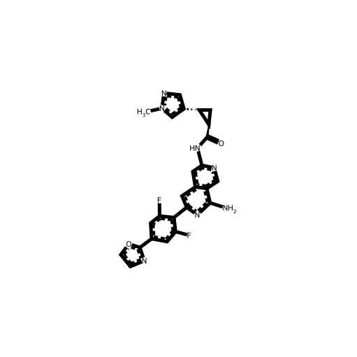 Cn1cc([C@@H]2C[C@H]2C(=O)Nc2cc3cc(-c4c(F)cc(-c5ncco5)cc4F)nc(N)c3cn2)cn1